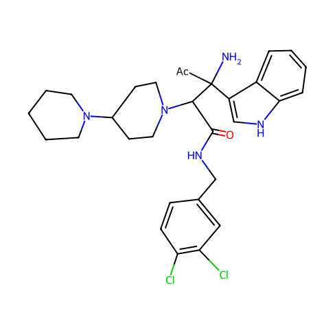 CC(=O)C(N)(c1c[nH]c2ccccc12)C(C(=O)NCc1ccc(Cl)c(Cl)c1)N1CCC(N2CCCCC2)CC1